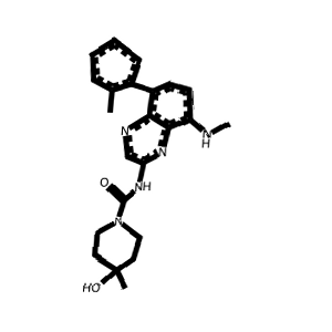 CNc1ccc(-c2ccccc2C)c2ncc(NC(=O)N3CCC(C)(O)CC3)nc12